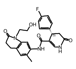 Cc1cc2c(cc1NC(=O)C1=CNC(=O)C[C@H]1c1ccc(F)cc1)N(CCO)C(=O)CC2